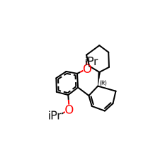 CC(C)Oc1cccc(OC(C)C)c1C1=CC=CC[C@@H]1C1CCCCC1